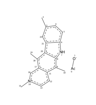 CC(=O)[O-].Cc1ccc2[nH]c3c(C)c4cc[n+](C)cc4c(C)c3c2c1